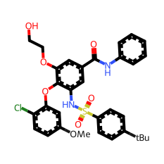 COc1ccc(Cl)c(Oc2c(NS(=O)(=O)c3ccc(C(C)(C)C)cc3)cc(C(=O)Nc3ccccc3)cc2OCCO)c1